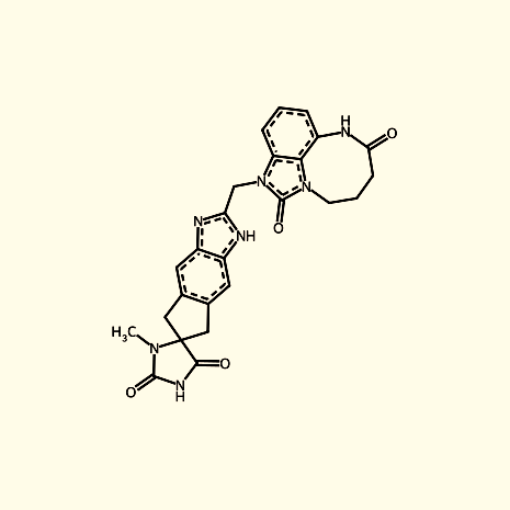 CN1C(=O)NC(=O)C12Cc1cc3nc(Cn4c(=O)n5c6c(cccc64)NC(=O)CCC5)[nH]c3cc1C2